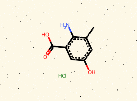 Cc1cc(O)cc(C(=O)O)c1N.Cl